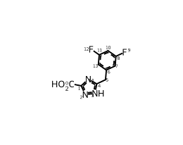 O=C(O)c1n[nH]c(Cc2cc(F)cc(F)c2)n1